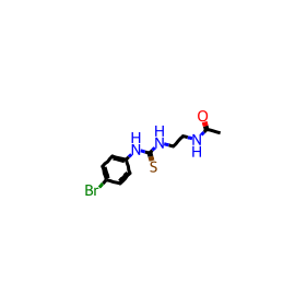 CC(=O)NCCNC(=S)Nc1ccc(Br)cc1